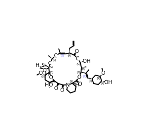 C=CC[C@@H]1/C=C(\C)C[C@H](C)C[C@@]([SiH3])(OC)[C@H]2O[C@@](O)(C(=O)C(=O)N3CCCC[C@H]3C(=O)O[C@H](/C(C)=C/[C@@H]3CC[C@@H](O)[C@H](OC)C3)[C@H](C)[C@@H](O)CC1=O)[C@H](C)C[C@@H]2OC